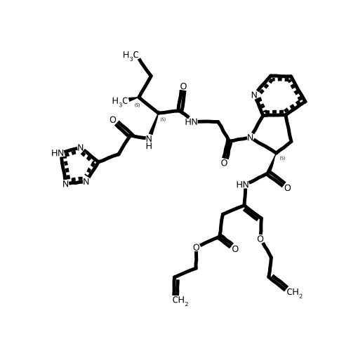 C=CCOC=C(CC(=O)OCC=C)NC(=O)[C@@H]1Cc2cccnc2N1C(=O)CNC(=O)[C@@H](NC(=O)Cc1nn[nH]n1)[C@@H](C)CC